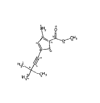 Bc1cc(C#CC(C)(C)C)sc1C(=O)OC